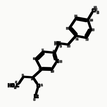 CCOC(CC(=O)O)c1ccc(NCc2ccc(C(F)(F)F)cc2)nc1